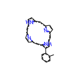 Cc1ccccc1-c1cc2cc3nc(cc4ccc(cc5nc(cc1[nH]2)C=C5)[nH]4)C=C3